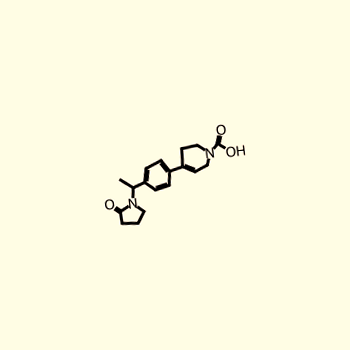 CC(c1ccc(C2=CCN(C(=O)O)CC2)cc1)N1CCCC1=O